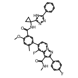 CNC(=O)c1c(-c2ccc(F)cc2)nn2ccc(-c3cc(C(=O)NC4(c5nnc(-c6ccccc6)[nH]5)CC4)c(OC)cc3C)c(F)c12